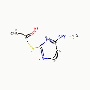 O=CNc1ccnc(SC(=O)C=O)n1